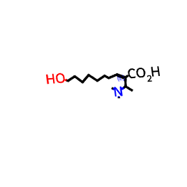 CC(/C(=C\CCCCCCCO)C(=O)O)N(C)C